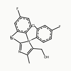 CC1=C(CO)[N+](c2ccc(F)cc2F)(c2ccc(F)cc2Cl)C(Br)=N1